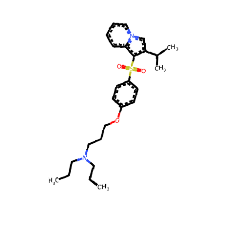 CCCN(CCC)CCCOc1ccc(S(=O)(=O)c2c(C(C)C)cn3ccccc23)cc1